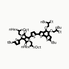 CCCCCCCCC(CCCCCC)CN1C(=O)C2=C(c3ccc(C(C)(C)C)s3)N(CC(CCCCCC)CCCCCCCC)C(=O)C2=C1c1ccc(-c2cc3c(OCC(CC)CCCC)c(OCC(CC)CCCC)c4cc(C(C)(C)C)sc4c3s2)s1